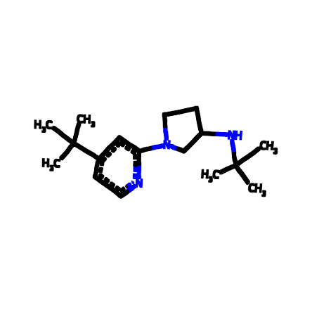 CC(C)(C)NC1CCN(c2cc(C(C)(C)C)ccn2)C1